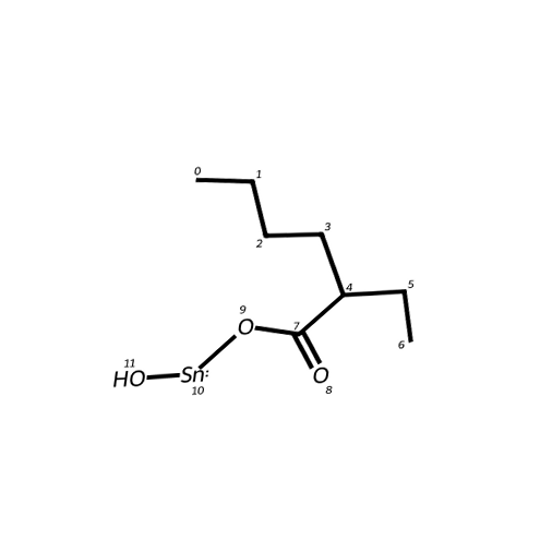 CCCCC(CC)C(=O)[O][Sn][OH]